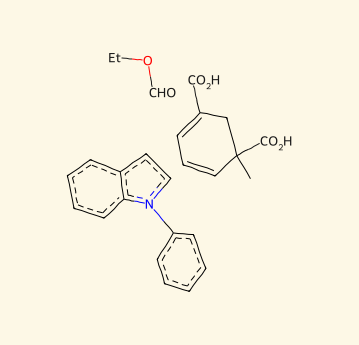 CC1(C(=O)O)C=CC=C(C(=O)O)C1.CCOC=O.c1ccc(-n2ccc3ccccc32)cc1